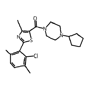 Cc1ccc(C)c(-c2nc(C)c(C(=O)N3CCN(C4CCCC4)CC3)s2)c1Cl